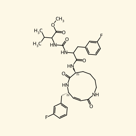 COC(=O)C(NC(=O)NC(Cc1cccc(F)c1)C(=O)N[C@H]1CCCCNC(=O)C=C[C@H](Cc2cccc(F)c2)NC1=O)C(C)C